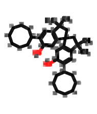 CC1(C)CC2(CC(C)(C)c3cc(C4CCCCCCC4)c(O)cc32)c2cc(O)c(C3CCCCCCC3)cc21